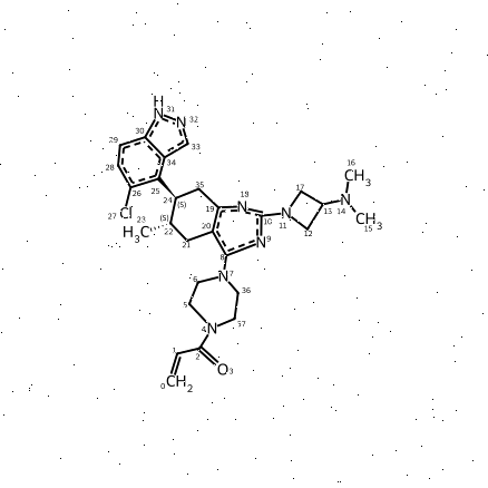 C=CC(=O)N1CCN(c2nc(N3CC(N(C)C)C3)nc3c2C[C@H](C)[C@@H](c2c(Cl)ccc4[nH]ncc24)C3)CC1